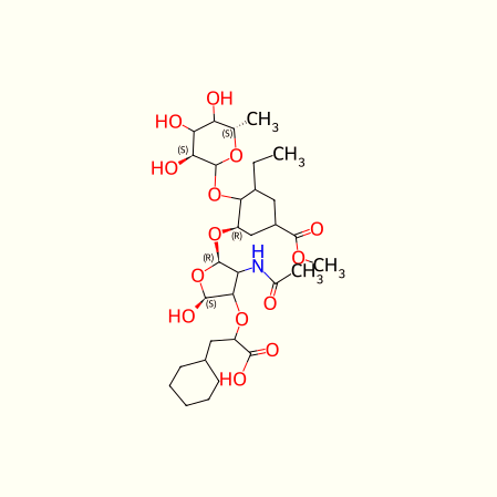 CCC1CC(C(=O)OC)C[C@@H](O[C@@H]2O[C@H](O)C(OC(CC3CCCCC3)C(=O)O)C2NC(C)=O)C1OC1O[C@@H](C)C(O)C(O)[C@@H]1O